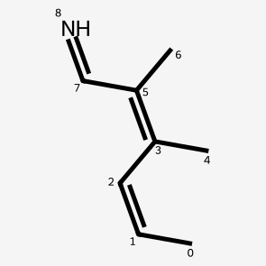 C/C=C\C(C)=C(\C)C=N